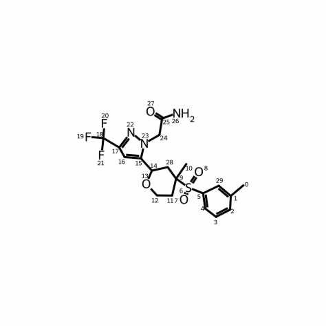 Cc1cccc(S(=O)(=O)C2(C)CCOC(c3cc(C(F)(F)F)nn3CC(N)=O)C2)c1